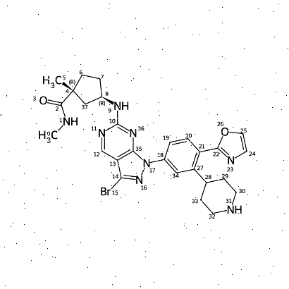 CNC(=O)[C@]1(C)CC[C@@H](Nc2ncc3c(Br)nn(-c4ccc(-c5ncco5)c(C5CCNCC5)c4)c3n2)C1